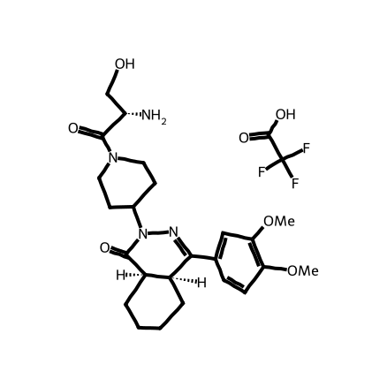 COc1ccc(C2=NN(C3CCN(C(=O)[C@@H](N)CO)CC3)C(=O)[C@@H]3CCCC[C@H]23)cc1OC.O=C(O)C(F)(F)F